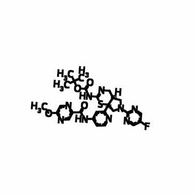 COc1cnc(C(=O)Nc2ccnc([C@]34CN(c5ncc(F)cn5)C[C@@H]3CN=C(NC(=O)OC(C)(C)C)S4)c2)cn1